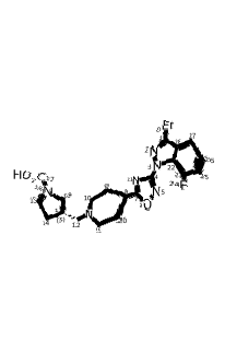 CCc1nn(-c2noc(C3CCN(C[C@@H]4CCN(C(=O)O)C4)CC3)n2)c2c(F)cccc12